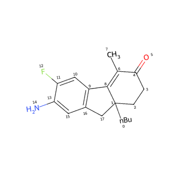 CCCCC12CCC(=O)C(C)=C1c1cc(F)c(N)cc1C2